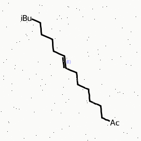 CCC(C)CCCC/C=C/CCCCCCC(C)=O